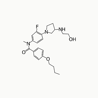 CCCCOc1ccc(C(=O)N(C)c2ccc(N3CCC(NCCO)C3)c(F)c2)cc1